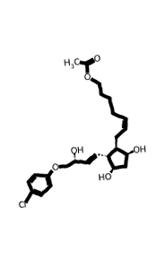 CC(=O)OCCCC/C=C\C[C@@H]1[C@@H](/C=C/[C@@H](O)COc2ccc(Cl)cc2)[C@H](O)C[C@@H]1O